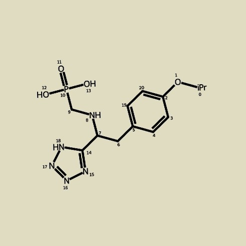 CC(C)Oc1ccc(CC(NCP(=O)(O)O)c2nnn[nH]2)cc1